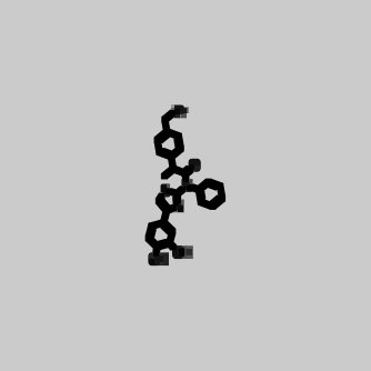 CC(C)Cc1ccc(C(C)C(=O)N(c2ccccc2)c2nc(-c3ccc(O)c(O)c3)cs2)cc1